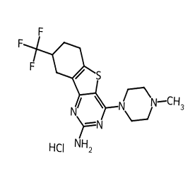 CN1CCN(c2nc(N)nc3c4c(sc23)CCC(C(F)(F)F)C4)CC1.Cl